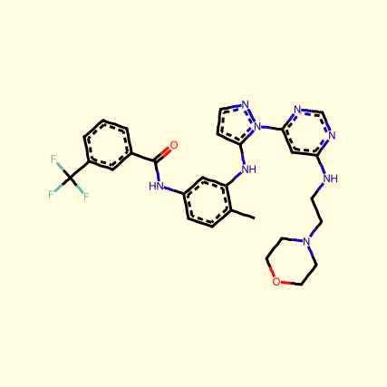 Cc1ccc(NC(=O)c2cccc(C(F)(F)F)c2)cc1Nc1ccnn1-c1cc(NCCN2CCOCC2)ncn1